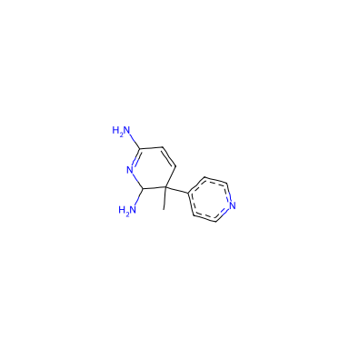 CC1(c2ccncc2)C=CC(N)=NC1N